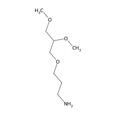 COCC(COCCCN)OC